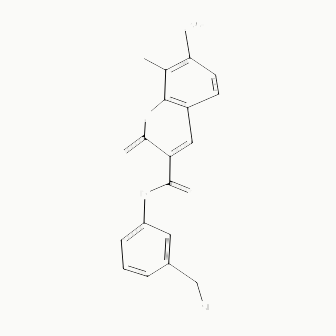 CCCc1c(OC)ccc2cc(C(=O)Nc3cccc(CN)c3)c(=O)oc12